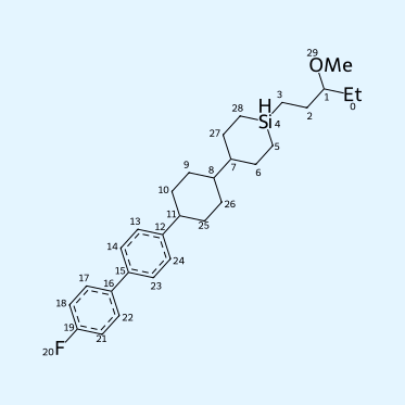 CCC(CC[SiH]1CCC(C2CCC(c3ccc(-c4ccc(F)cc4)cc3)CC2)CC1)OC